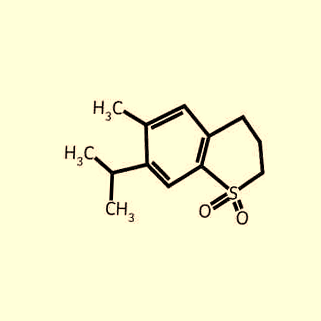 Cc1cc2c(cc1C(C)C)S(=O)(=O)CCC2